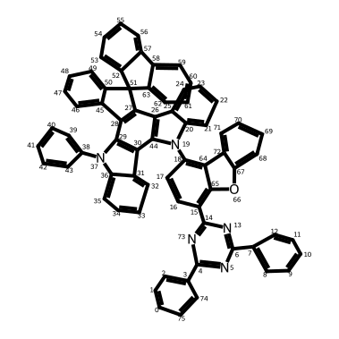 c1ccc(-c2nc(-c3ccccc3)nc(-c3ccc(-n4c5ccccc5c5c6c(c7c(c8ccccc8n7-c7ccccc7)c54)-c4ccccc4C64c5ccccc5-c5ccccc54)c4c3oc3ccccc34)n2)cc1